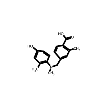 Cc1cc(CN(C)c2ccc(O)cc2C)ccc1C(=O)O